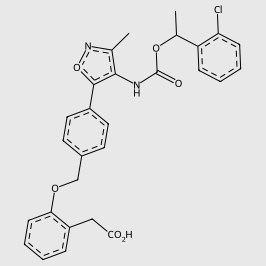 Cc1noc(-c2ccc(COc3ccccc3CC(=O)O)cc2)c1NC(=O)OC(C)c1ccccc1Cl